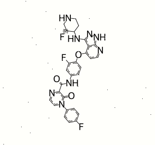 O=C(Nc1ccc(Oc2ccnc3[nH]nc(NC4CCNC[C@H]4F)c23)c(F)c1)c1nccn(-c2ccc(F)cc2)c1=O